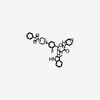 O=C(N[C@@H](Cc1c[nH]c2ccccc12)C(=O)Nc1ccncc1)c1ccc(N2CCN(S(=O)(=O)c3ccccc3)CC2)cc1F